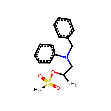 CC(CN(Cc1ccccc1)c1ccccc1)OS(C)(=O)=O